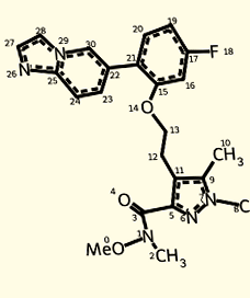 CON(C)C(=O)c1nn(C)c(C)c1CCOc1cc(F)ccc1-c1ccc2nccn2c1